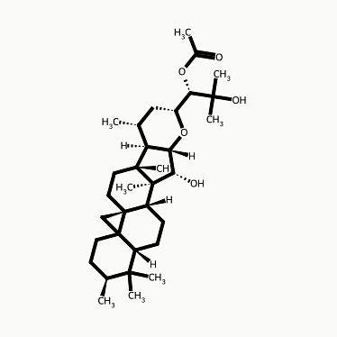 CC(=O)O[C@@H]([C@H]1C[C@@H](C)[C@H]2[C@H](O1)[C@H](O)[C@@]1(C)[C@@H]3CC[C@@H]4C(C)(C)[C@@H](C)CCC45C[C@@]35CC[C@]21C)C(C)(C)O